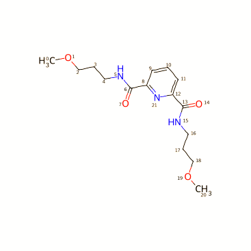 COCCCNC(=O)c1cccc(C(=O)NCCCOC)n1